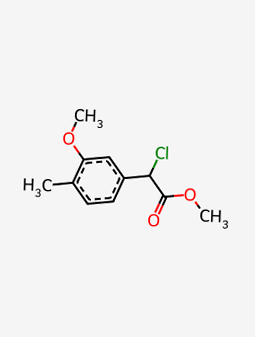 COC(=O)C(Cl)c1ccc(C)c(OC)c1